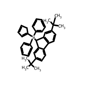 CC(C)(C)c1ccc2c(c1)C([Si](C1=CC=CC1)(c1ccccc1)c1ccccc1)c1cc(C(C)(C)C)ccc1-2